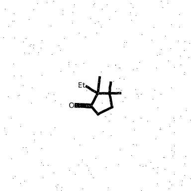 CCC1(C)C(=O)CCC1(C)C